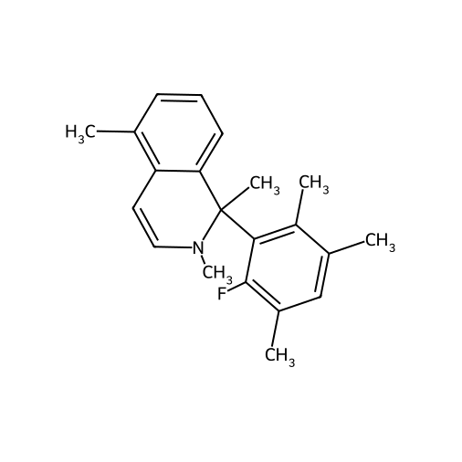 Cc1cc(C)c(F)c(C2(C)c3cccc(C)c3C=CN2C)c1C